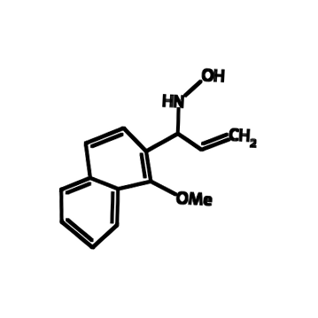 C=CC(NO)c1ccc2ccccc2c1OC